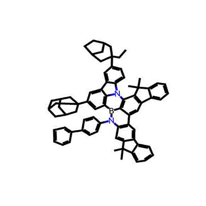 CCC1(c2ccc3c(c2)c2cc(C45CC6CC(CC(C6)C4)C5)cc4c2n3-c2c3c(cc5c2C(C)(C)c2ccccc2-5)-c2cc5c(cc2N(c2ccc(-c6ccccc6)cc2)B34)C(C)(C)c2ccccc2-5)CC2CCC(C2)C1